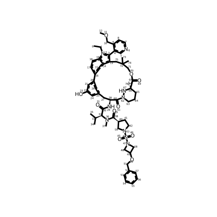 CCn1c(-c2cnccc2COC)c2c3cc(ccc31)-c1cc(O)cc(c1)C[C@H](NC(=O)[C@H](C(C)C)N(C)C(=O)[C@H]1CCN(S(=O)(=O)N3CC(OCc4ccccc4)C3)C1)C(=O)N1CCC[C@H](N1)C(=O)OCC(C)(C)C2